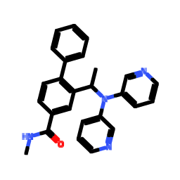 CNC(=O)c1ccc(-c2ccccc2)c(C(C)N(c2cccnc2)c2cccnc2)c1